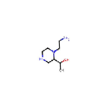 CC(O)C1CNCCN1CCN